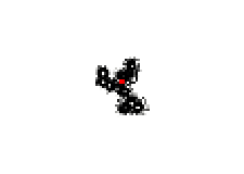 c1ccc2c(c1)ccc1ccc(N(c3ccc(-c4cc5ccccc5c5ccccc45)cc3)c3ccc4c(c3)oc3ccccc34)cc12